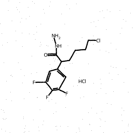 Cl.NNC(=O)C(CCCCCl)c1cc(F)c(F)c(F)c1